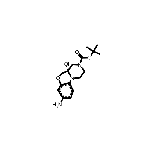 CC(C)(C)OC(=O)N1CCN2c3ccc(N)cc3OC[C@@]2(O)C1